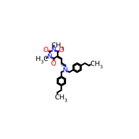 CCCc1ccc(CN(/C=C/C=C2C(=O)N(C)C(=O)N(C)C2=O)Cc2ccc(CCC)cc2)cc1